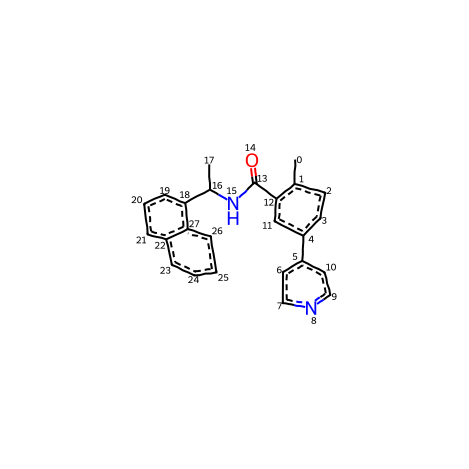 Cc1ccc(-c2ccncc2)cc1C(=O)NC(C)c1cccc2ccccc12